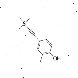 Cc1cc(C#C[Si](C)(C)C)ccc1O